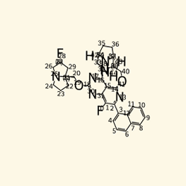 Fc1c(-c2cccc3ccccc23)nc2c3c(nc(OC[C@@]45CCCN4C[C@H](F)C5)nc13)N1C[C@H]3CC[C@H](N3)[C@H]1CO2